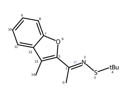 C/C(=N\SC(C)(C)C)c1oc2ccccc2c1C